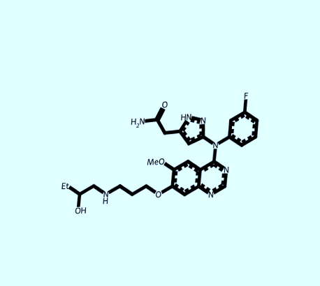 CCC(O)CNCCCOc1cc2ncnc(N(c3cccc(F)c3)c3cc(CC(N)=O)[nH]n3)c2cc1OC